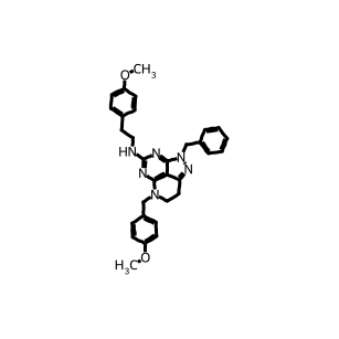 COc1ccc(CCNc2nc3c4c(nn(Cc5ccccc5)c4n2)CCN3Cc2ccc(OC)cc2)cc1